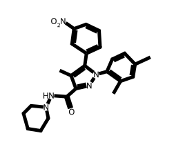 Cc1ccc(-n2nc(C(=O)NN3CCCCC3)c(C)c2-c2cccc([N+](=O)[O-])c2)c(C)c1